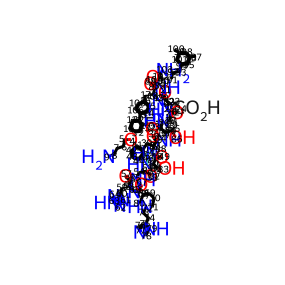 CCc1cc(OCCCCN)ccc1-c1ccc(C[C@H](NC(=O)[C@H](CC(=O)O)NC(=O)[C@H](C)NC(=O)[C@@H](NC(=O)[C@](C)(Cc2ccccc2F)NC(=O)[C@@H](NC(=O)CNC(=O)[C@H](Cc2nn[nH]n2)NC(=O)[C@H]2CCCN(CCc3cnc[nH]3)C2)[C@@H](C)O)[C@@H](C)O)C(=O)N[C@@H](CCCc2cc(C)cc(C)c2)C(N)=O)cc1